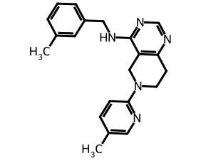 Cc1ccc(N2CCc3ncnc(NCc4cccc(C)c4)c3C2)nc1